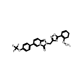 COC1=C(c2nc(Cn3nc4ccc(-c5ccc(OC(F)(F)F)cc5)cn4c3=O)no2)C=CCC1